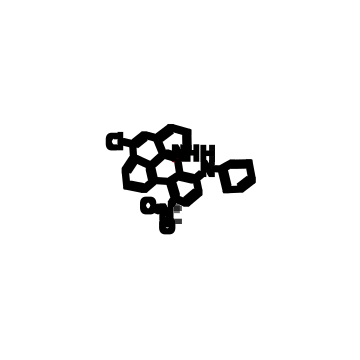 N=Cc1c(Nc2ccccc2)ccc([N+](=O)[O-])c1-c1cccc2c(Cl)cc3ccccc3c12